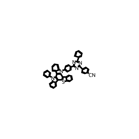 N#Cc1ccc(-c2nc(-c3ccccc3)nc(-c3ccc(-n4c5ccccc5c5c6c(c7ccccc7n6-c6ccccc6)c6sc7ccccc7c6c54)cc3)n2)cc1